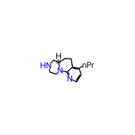 CCCc1ccnc2c1CC[C@@H]1CNCCN21